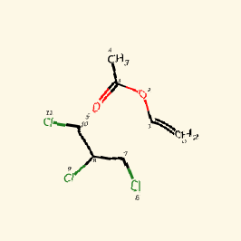 C=COC(C)=O.ClCC(Cl)CCl